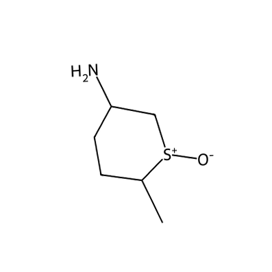 CC1CCC(N)C[S+]1[O-]